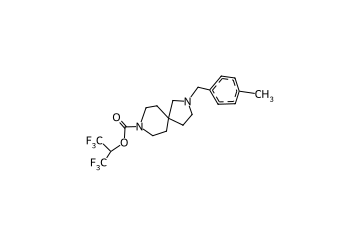 Cc1ccc(CN2CCC3(CCN(C(=O)OC(C(F)(F)F)C(F)(F)F)CC3)C2)cc1